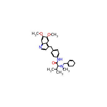 COc1cc2nccc(Cc3ccc(NC(=O)C(C(C)C)N(C)CC4=CCCC=C4)cc3)c2cc1OC